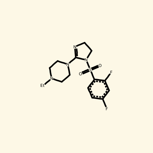 CCN1CCN(C2=NCCN2S(=O)(=O)c2ccc(F)cc2F)CC1